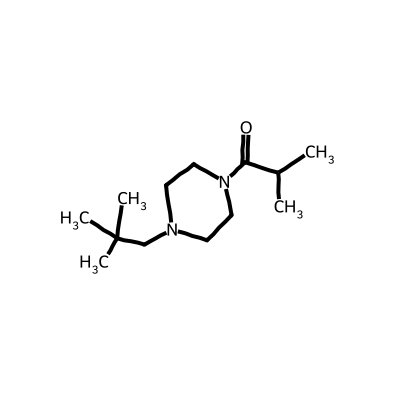 CC(C)C(=O)N1CCN(CC(C)(C)C)CC1